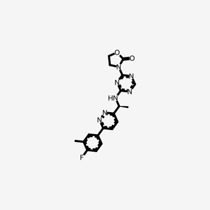 Cc1cc(-c2ccc([C@H](C)Nc3ncnc(N4CCOC4=O)n3)nn2)ccc1F